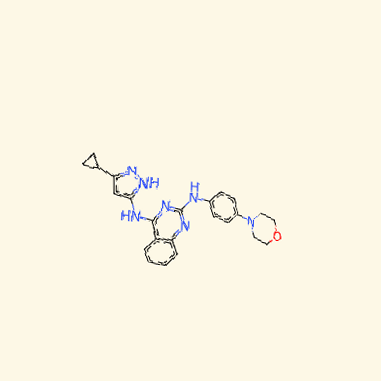 c1ccc2c(Nc3cc(C4CC4)n[nH]3)nc(Nc3ccc(N4CCOCC4)cc3)nc2c1